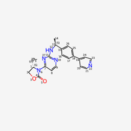 CC(C)[C@H]1COC(=O)N1c1ccnc(N[C@@H](C)c2ccc(-c3ccncc3)cc2)n1